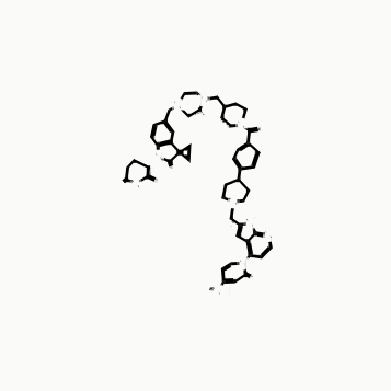 CNc1ccn(-c2ccnc3c2cc([C@H](C)N2CCC(c4ccc(C(=O)N5CCC(CN6CCN(Cc7ccc8c(c7)C7(CC7)C(=O)N8[C@H]7CCC(=O)NC7=O)C[C@@H]6C)CC5)cc4)CC2)n3C)c(=O)c1